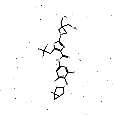 CCC1(CC)CN(c2nc(C(=O)Nc3cc(F)c(O[C@@H]4CC5C[C@@H]5C4)c(Cl)c3)c(CC(F)(F)F)o2)C1